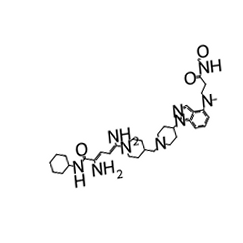 CN(CCC(=O)NC=O)c1cccc2c1cnn2C1CCN(CC2CCN(/C(N)=C/C=C(\N)C(=O)NC3CCCCC3)CC2)CC1